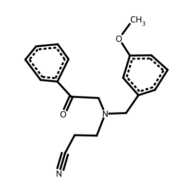 COc1cccc(CN(CCC#N)CC(=O)c2ccccc2)c1